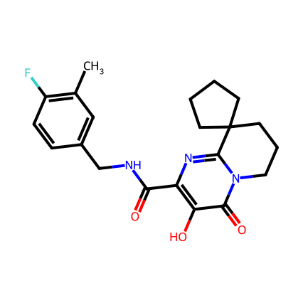 Cc1cc(CNC(=O)c2nc3n(c(=O)c2O)CCCC32CCCC2)ccc1F